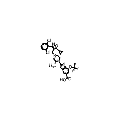 CC1CN(Cc2c(-c3c(Cl)cccc3Cl)noc2C2CC2)CCN1c1nc2c(OC(F)(F)F)cc(C(=O)O)cc2s1